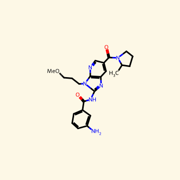 COCCCn1c(NC(=O)c2cccc(N)c2)nc2cc(C(=O)N3CCCC3C)cnc21